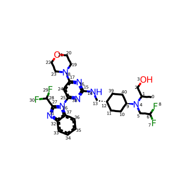 CC(CO)N(CC(F)F)[C@H]1CC[C@H](CNc2nc(N3CCOCC3)cc(-n3c(C(F)F)nc4ccccc43)n2)CC1